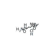 CCOC(=O)C(N)CCCNC(N)=O.Cl